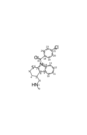 CNCC1CCSc2c1c1ccccc1n2C(=O)c1ccc(Cl)cc1